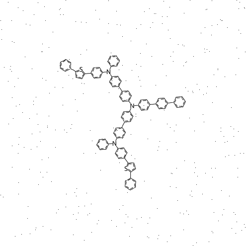 c1ccc(-c2ccc(-c3ccc(N(c4ccc(-c5ccc(N(c6ccccc6)c6ccc(-c7ccc(-c8ccccc8)s7)cc6)cc5)cc4)c4ccc(-c5ccc(N(c6ccccc6)c6ccc(-c7ccc(-c8ccccc8)s7)cc6)cc5)cc4)cc3)cc2)cc1